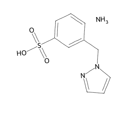 N.O=S(=O)(O)c1cccc(Cn2cccn2)c1